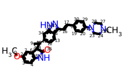 COc1ccc2c(c1)[C@]1(C[C@H]1c1ccc3c(C=Cc4ccc(N5CCN(C)CC5)cc4)n[nH]c3c1)C(=O)N2